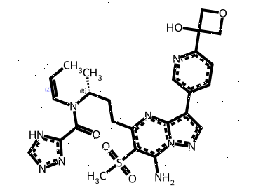 C/C=C\N(C(=O)c1nnc[nH]1)[C@H](C)CCc1nc2c(-c3ccc(C4(O)COC4)nc3)cnn2c(N)c1S(C)(=O)=O